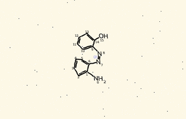 Nc1ccccc1/N=N\c1ccccc1O